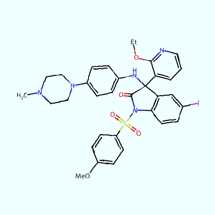 CCOc1ncccc1C1(Nc2ccc(N3CCN(C)CC3)cc2)C(=O)N(S(=O)(=O)c2ccc(OC)cc2)c2ccc(I)cc21